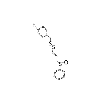 [O-][S+](CC=CSSCc1ccc(F)cc1)c1ccccc1